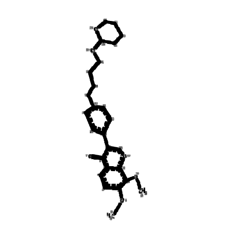 COc1ccc2c(=O)c(-c3ccc(CCCCOC4CCCCO4)cc3)coc2c1OC